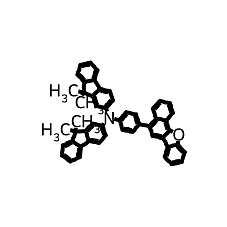 CC1(C)c2ccccc2-c2ccc(N(c3ccc(-c4cc5c6ccccc6oc5c5ccccc45)cc3)c3ccc4c(c3)C(C)(C)c3ccccc3-4)cc21